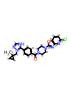 CC1(CN2N=CNC2c2ccc(C(=O)N3CCN(c4nc5nc(Cl)ccc5o4)CC3)cc2)CC1